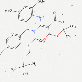 CCCCc1ccc(CN(C(Nc2ccc(OC)cc2OC)=C2C(=O)OC(C)(C)OC2=O)C(C)CCCC(C)(C)O)cc1